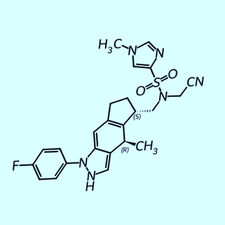 C[C@H]1C2=CNN(c3ccc(F)cc3)C2=CC2=C1[C@@H](CN(CC#N)S(=O)(=O)c1cn(C)cn1)CC2